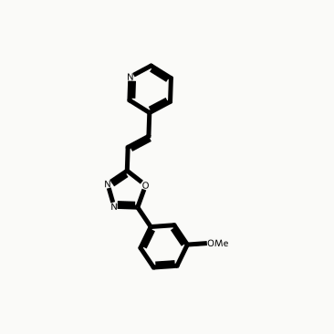 COc1cccc(-c2nnc(C=Cc3cccnc3)o2)c1